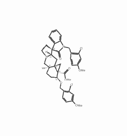 COC(=O)[C@@]12C[C@@]13C[C@@H]1N(CC[C@@]14C(=O)N(Cc1ccc(OC)cc1Cl)c1ccccc14)C[C@@H]3CC[C@@H]2OCc1ccc(OC)cc1Cl